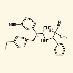 C[C@H](NC(c1ccccc1)C(C)(C)C#N)[C@@H](Cc1ccc(CI)cc1)c1cccc(C#N)c1